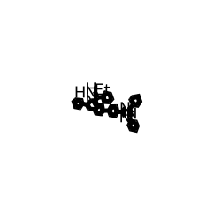 CCC(=N)/C(=C1\NC(c2ccccc2)=Cc2ccc(-c3ccc(-c4nc(-c5ccccc5)nc(-c5ccccc5)n4)cc3)cc21)c1ccccc1